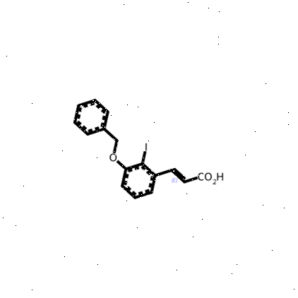 O=C(O)/C=C/c1cccc(OCc2ccccc2)c1I